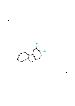 FC1(F)C=CC2=C(C1)c1ccccc1C2